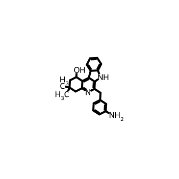 CC1(C)Cc2nc(Cc3cccc(N)c3)c3[nH]c4ccccc4c3c2C(O)C1